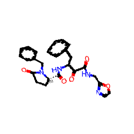 O=C(NCc1ncco1)C(=O)C(Cc1ccccc1)NC(=O)[C@@H]1CCC(=O)N1Cc1ccccc1